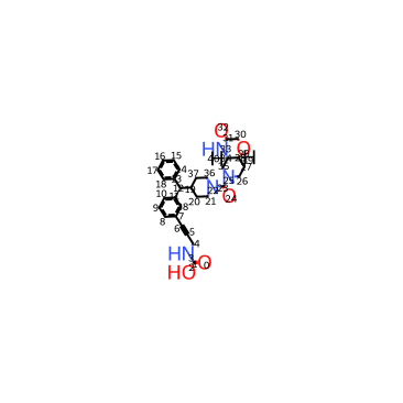 O=C(O)NCC#Cc1cccc([C@@H](c2ccccc2)C2CCN(C(=O)N3CC[C@@H]4OCC(=O)N[C@@H]4C3)CC2)c1